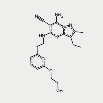 CCc1c(C)nn2c(N)c(C#N)c(NCCc3cccc(OCCO)n3)nc12